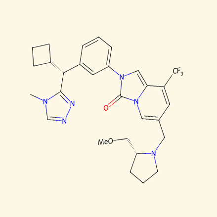 COC[C@H]1CCCN1Cc1cc(C(F)(F)F)c2cn(-c3cccc([C@H](c4nncn4C)C4CCC4)c3)c(=O)n2c1